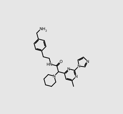 Cc1cc(C(C(=O)NCCc2ccc(CN)cc2)N2CCCCC2)nc(-n2ccnc2)n1